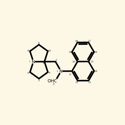 O=CN(CC12CCCN1CCC2)c1cccc2ccccc12